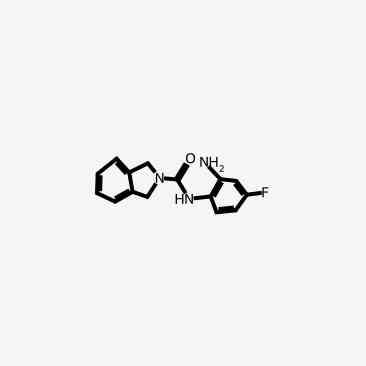 Nc1cc(F)ccc1NC(=O)N1Cc2ccccc2C1